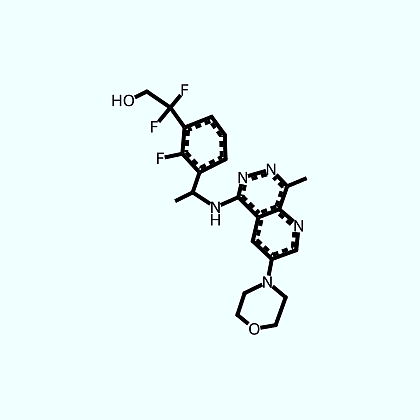 Cc1nnc(NC(C)c2cccc(C(F)(F)CO)c2F)c2cc(N3CCOCC3)cnc12